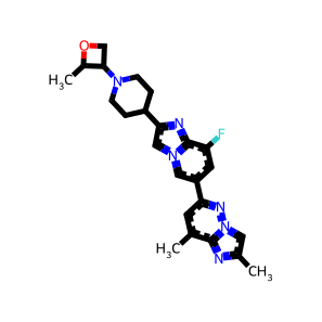 Cc1cn2nc(-c3cc(F)c4nc(C5CCN(C6COC6C)CC5)cn4c3)cc(C)c2n1